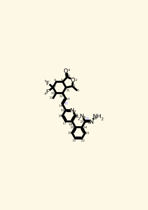 CC1OC(=O)C2CC(F)(F)C(C)C(/C=C/c3ccc(-c4ccccc4/C(N)=N/N)cn3)C12